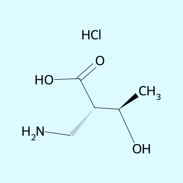 C[C@@H](O)[C@H](CN)C(=O)O.Cl